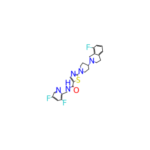 O=C(NCc1ncc(F)cc1F)c1cnc(N2CCC(N3CCc4cccc(F)c4C3)CC2)s1